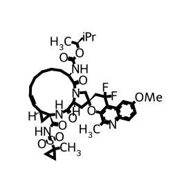 COc1ccc2nc(C)c3c(c2c1)C(F)(F)C[C@]1(C[C@H]2C(=O)N[C@]4(C(=O)NS(=O)(=O)C5(C)CC5)C[C@H]4/C=C\CCCCC[C@H](NC(=O)O[C@@H](C)C(C)C)C(=O)N2C1)O3